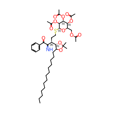 CCCCCCCCCCCCCCC1OC(C)(C)O[C@H]1[C@H](CCS[C@@H]1OC(COC(C)=O)[C@H](OC(C)=O)[C@H](OC(C)=O)C1OC(C)=O)C(=N)C(=O)c1ccccc1